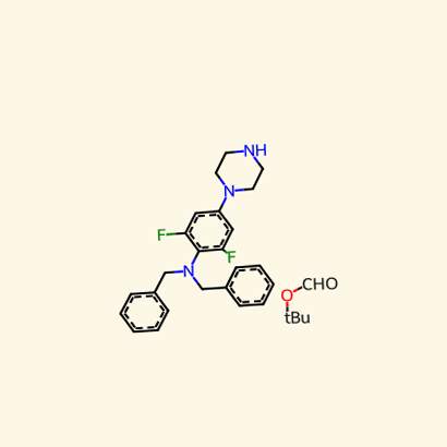 CC(C)(C)OC=O.Fc1cc(N2CCNCC2)cc(F)c1N(Cc1ccccc1)Cc1ccccc1